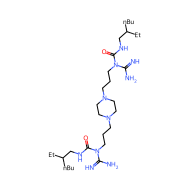 CCCCC(CC)CNC(=O)N(CCCN1CCN(CCCN(C(=N)N)C(=O)NCC(CC)CCCC)CC1)C(=N)N